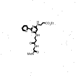 CCOC(=O)CCNc1cc(NCCC(=O)NCC(=O)NC)nc(-c2ccccn2)n1